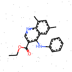 CCOC(=O)c1cnc2c(C)cc(C)cc2c1Nc1ccccc1